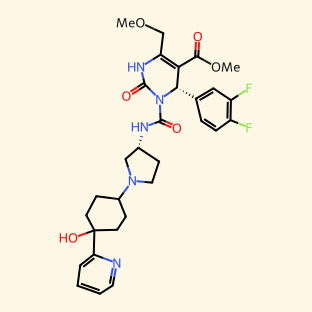 COCC1=C(C(=O)OC)[C@H](c2ccc(F)c(F)c2)N(C(=O)N[C@@H]2CCN(C3CCC(O)(c4ccccn4)CC3)C2)C(=O)N1